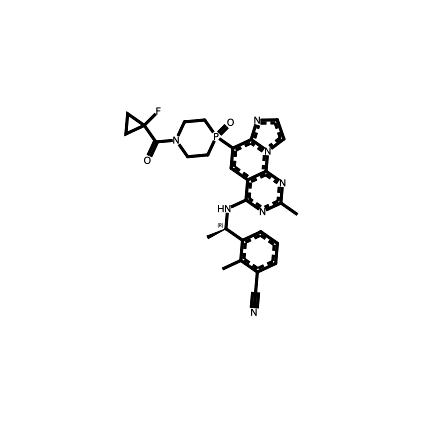 Cc1nc(N[C@H](C)c2cccc(C#N)c2C)c2cc(P3(=O)CCN(C(=O)C4(F)CC4)CC3)c3nccn3c2n1